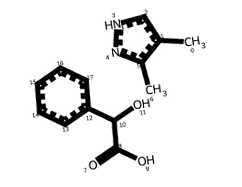 Cc1c[nH]nc1C.O=C(O)C(O)c1ccccc1